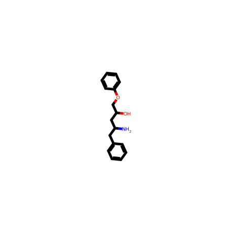 NC(Cc1ccccc1)CC(O)COc1ccccc1